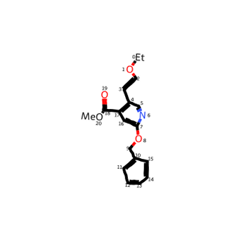 CCO/C=C/c1cnc(OCc2ccccc2)cc1C(=O)OC